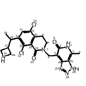 Cc1[nH]c(=O)c(CN2CCc3c(Cl)cc(C(C)C4CNC4)c(Cl)c3C2=O)c2nn[nH]c12